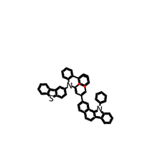 c1cccc(-c2ccccc2N(C2=CC(c3ccc4ccc5c6ccccc6n(-c6ccccc6)c5c4c3)=CCC2)c2ccc3sc4ccccc4c3c2)c#1